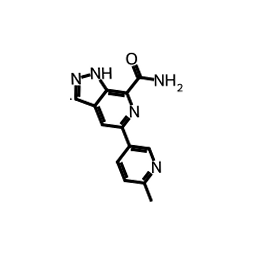 Cc1ccc(-c2cc3[c]n[nH]c3c(C(N)=O)n2)cn1